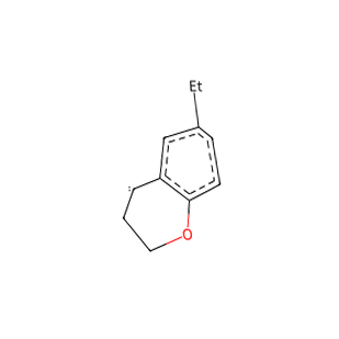 CCc1ccc2c(c1)[C]CCO2